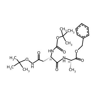 C[C@H](NC(=O)[C@H](CC(=O)NOC(C)(C)C)NC(=O)OC(C)(C)C)C(=O)OCc1ccccc1